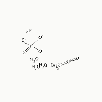 O.O.O.O.O=P([O-])([O-])[O-].[H+].[O]=[U+2]=[O]